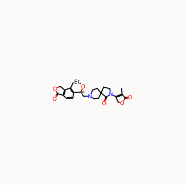 CCO[C@@H](CN1CCC2(CC1)CCN(C1=C(C)C(=O)OC1)C2=O)c1ccc2c(c1C)COC2=O